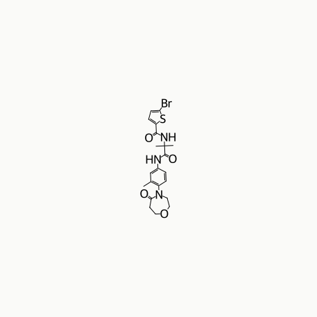 Cc1cc(NC(=O)C(C)(C)NC(=O)c2ccc(Br)s2)ccc1N1CCOCCC1=O